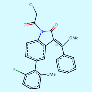 CO/C(=C1\C(=O)N(C(=O)CCl)c2ccc(-c3c(F)cccc3OC)cc21)c1ccccc1